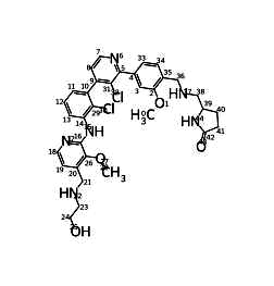 COc1cc(-c2nccc(-c3cccc(Nc4nccc(CNCCO)c4OC)c3Cl)c2Cl)ccc1CNCC1CCC(=O)N1